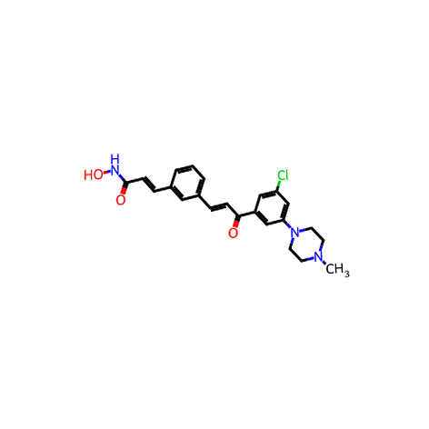 CN1CCN(c2cc(Cl)cc(C(=O)C=Cc3cccc(C=CC(=O)NO)c3)c2)CC1